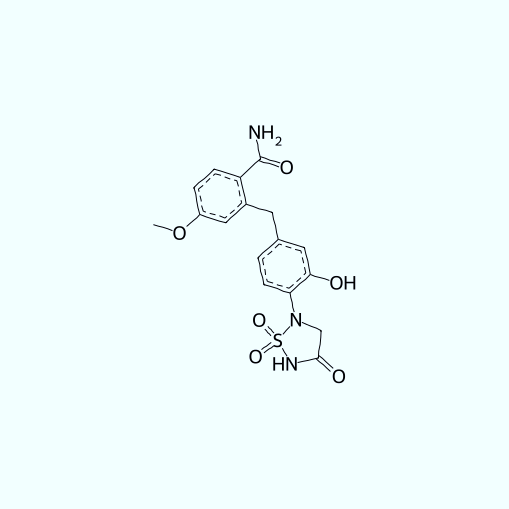 COc1ccc(C(N)=O)c(Cc2ccc(N3CC(=O)NS3(=O)=O)c(O)c2)c1